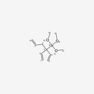 C=CCC(C=C)(C=C)[Si](OC)(OC)OC